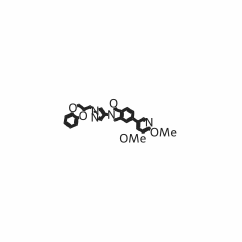 COc1cc(-c2ccc3c(c2)CN(c2cnn(CC4COc5ccccc5O4)c2)C3=O)cnc1OC